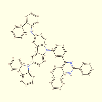 c1ccc(-c2nc(-c3cccc(-n4c5ccc(-n6c7ccccc7c7ccccc76)cc5c5cc(-n6c7ccccc7c7ccccc76)ccc54)c3)c3ccc4ccccc4c3n2)cc1